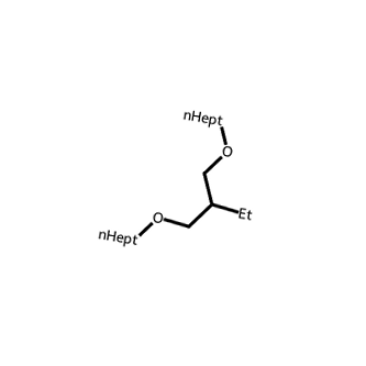 CCCCCCCOCC(CC)COCCCCCCC